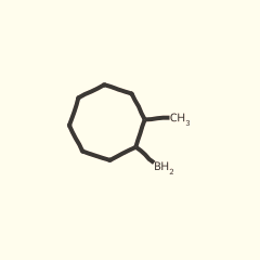 BC1CCCCCCC1C